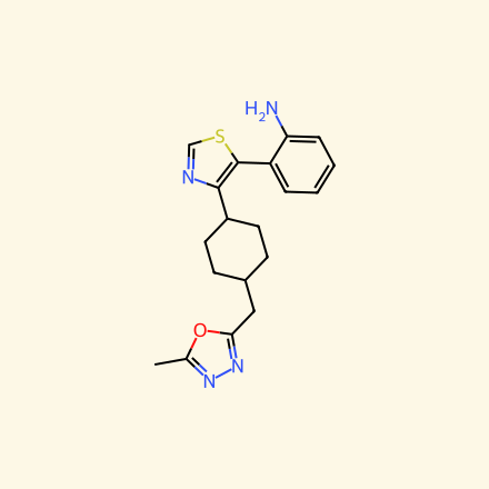 Cc1nnc(CC2CCC(c3ncsc3-c3ccccc3N)CC2)o1